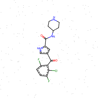 O=C(NC1CCNCC1)c1cc(C(=O)c2c(F)ccc(F)c2Cl)c[nH]1